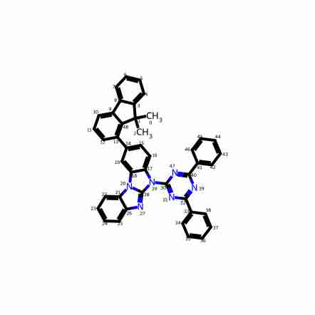 CC1(C)c2ccccc2-c2cccc(-c3ccc4c(c3)n3c5ccccc5nc3n4-c3nc(-c4ccccc4)nc(-c4ccccc4)n3)c21